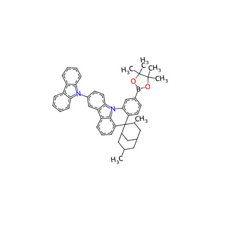 CC1CC2CC(C)C3(c4ccc(B5OC(C)(C)C(C)(C)O5)cc4-n4c5ccc(-n6c7ccccc7c7ccccc76)cc5c5cccc3c54)C(C1)C2